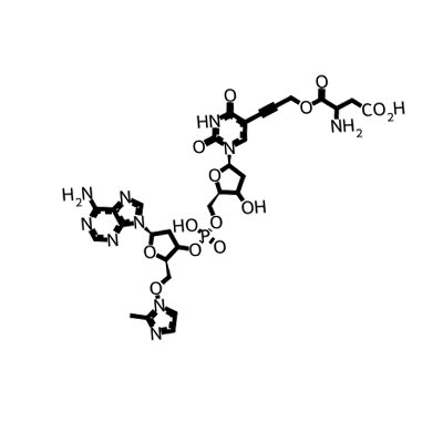 Cc1nccn1OC[C@H]1O[C@@H](n2cnc3c(N)ncnc32)CC1OP(=O)(O)OC[C@H]1O[C@@H](n2cc(C#CCOC(=O)C(N)CC(=O)O)c(=O)[nH]c2=O)CC1O